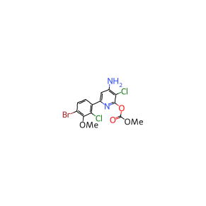 COC(=O)Oc1nc(-c2ccc(Br)c(OC)c2Cl)cc(N)c1Cl